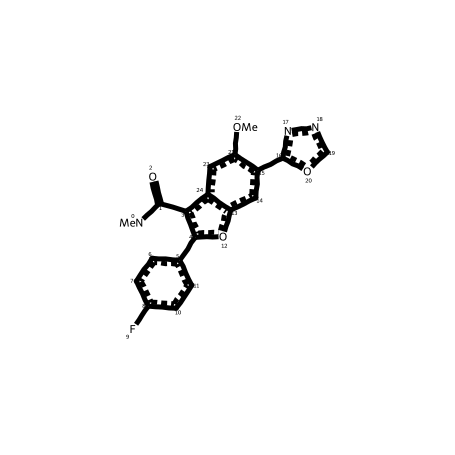 CNC(=O)c1c(-c2ccc(F)cc2)oc2cc(-c3nnco3)c(OC)cc12